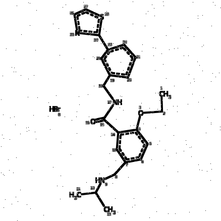 Br.CCOc1ccc(CNC(C)C)cc1C(=O)NCc1cccc(-c2nccs2)c1